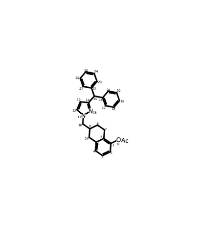 CC(=O)Oc1cccc2c1CCC(Cn1ccc(C(c3ccccc3)c3ccccc3)n1)C2